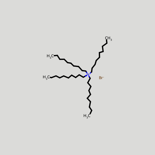 CCCCCCCCCC[N+](CCCCCCCCCC)(CCCCCCCCCC)CCCCCCCCCC.[Br-]